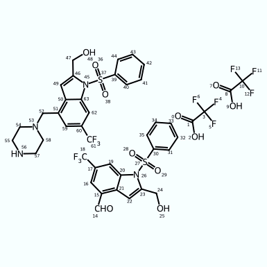 O=C(O)C(F)(F)F.O=C(O)C(F)(F)F.O=Cc1cc(C(F)(F)F)cc2c1cc(CO)n2S(=O)(=O)c1ccccc1.O=S(=O)(c1ccccc1)n1c(CO)cc2c(CN3CCNCC3)cc(C(F)(F)F)cc21